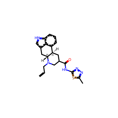 C=CCN1CC(C(=O)Nc2nnc(C)s2)C[C@@H]2c3cccc4[nH]cc(c34)C[C@H]21